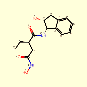 CC(C)C[C@H](CC(=O)NO)C(=O)N[C@H]1c2ccccc2C[C@H]1O